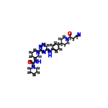 N#CCC(=O)N1CCC(c2ccc(Nc3cnnc(N4CCC[C@@H](NC(=O)N5CCCCC5)C4)n3)cc2)CC1